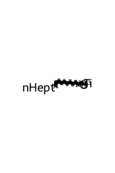 CCCCCCCC/C=C\CCCCCCCC[O][Ti]